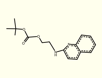 CC(C)(C)OC(=O)OCCNc1ccc2ccccc2n1